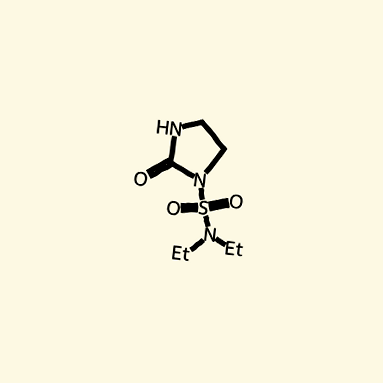 CCN(CC)S(=O)(=O)N1CCNC1=O